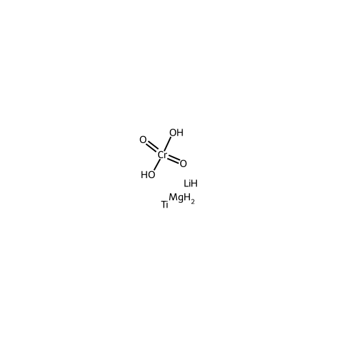 [LiH].[MgH2].[O]=[Cr](=[O])([OH])[OH].[Ti]